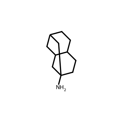 NC12CCC3CCC(CC3C1)C2